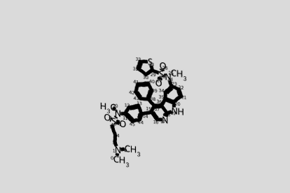 CN(C)CCCS(=O)(=O)N(C)c1ccc(-c2cnc3[nH]c4ccc(N(C)S(=O)(=O)C5CC=CS5)cc4c3c2-c2ccccc2)cc1